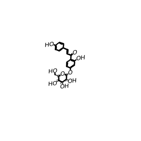 O=C(C=Cc1ccc(O)cc1)c1ccc(O[C@@H]2O[C@H](CO)[C@@H](O)[C@@H](O)[C@H]2O)cc1O